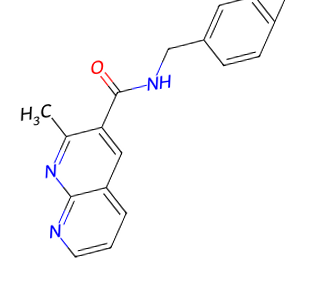 Cc1nc2ncccc2cc1C(=O)NCc1ccc2c(c1)C2